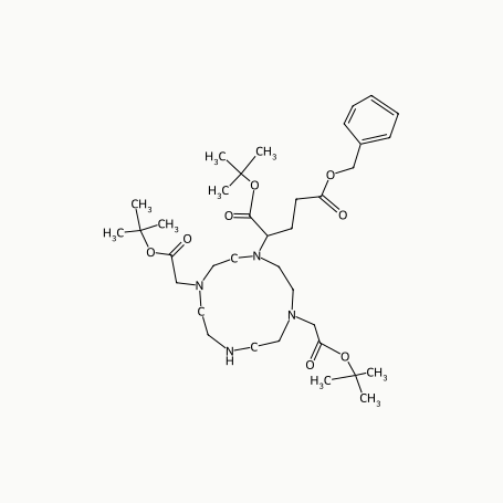 CC(C)(C)OC(=O)CN1CCNCCN(CC(=O)OC(C)(C)C)CCN(C(CCC(=O)OCc2ccccc2)C(=O)OC(C)(C)C)CC1